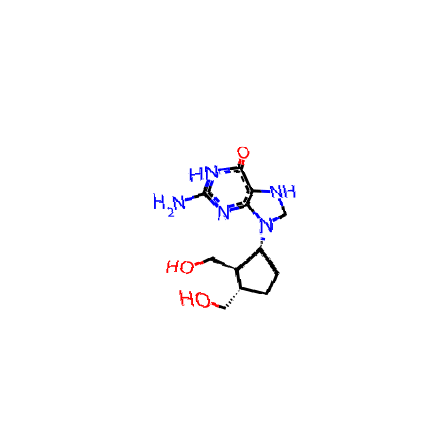 Nc1nc2c(c(=O)[nH]1)NCN2[C@@H]1CC[C@H](CO)[C@H]1CO